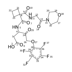 O=C(O)CC(NC(=O)C1(C(=O)NCC(=O)N2CCOCC2)CCC1)C(=O)COc1c(F)c(F)cc(F)c1F